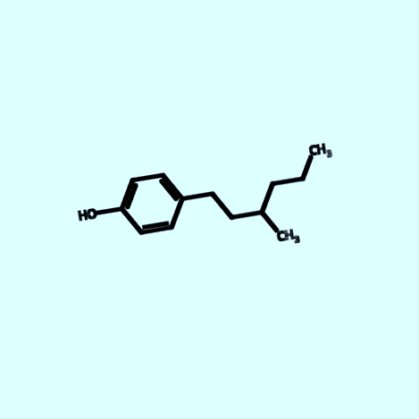 CCCC(C)CCc1ccc(O)cc1